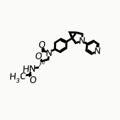 CC(=O)NC[C@H]1CN(C2C=CC(C34CC3CN(c3ccncc3)C4)=CC2)C(=O)O1